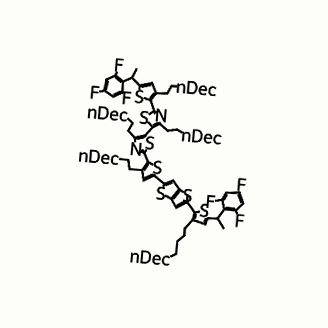 CCCCCCCCCCCCCCc1cc(C(C)c2c(F)cc(F)cc2F)sc1-c1cc2sc(-c3cc(CCCCCCCCCCCC)c(-c4nc(CCCCCCCCCCCC)c(-c5sc(-c6sc(C(C)c7c(F)cc(F)cc7F)cc6CCCCCCCCCCCC)nc5CCCCCCCCCCCC)s4)s3)cc2s1